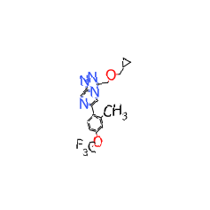 Cc1cc(OC(F)(F)F)ccc1-c1cn2c(COCC3CC3)nnc2cn1